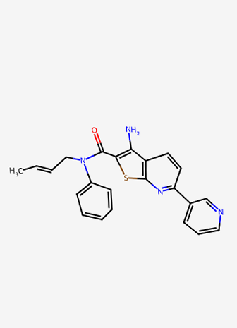 C/C=C/CN(C(=O)c1sc2nc(-c3cccnc3)ccc2c1N)c1ccccc1